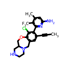 CC#Cc1cc2c(c(Cl)c1-c1nc(N)cc(C)c1C(F)(F)F)OCC1CNCCN1C2